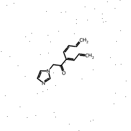 C=C/C=C\C(=C/C=C)C(=O)Cn1ccnc1